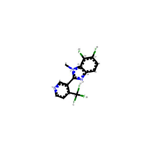 Cn1c(-c2cnccc2C(F)(F)F)nc2ccc(F)c(F)c21